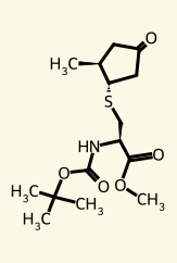 COC(=O)[C@H](CS[C@H]1CC(=O)C[C@@H]1C)NC(=O)OC(C)(C)C